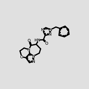 O=C(NC1CCn2ncc3c2N(CCO3)C1=O)c1ncn(Cc2ccccc2)n1